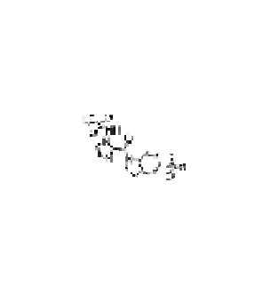 CS(=O)(=O)Nn1ccnc1C(=O)N1CCc2cc(S(=O)(=O)Cl)ccc21